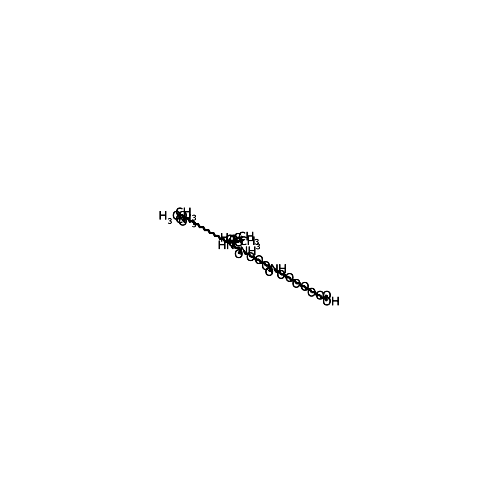 CC(C)(C)OC(=O)CCCCCCCCCCCCCCCCC(=O)NC(CCC(=O)NCCOCCOCCOCC(=O)NCCOCCOCCOCCOCCOCCOCC(=O)O)C(=O)OC(C)(C)C